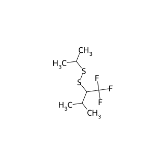 CC(C)SSC(C(C)C)C(F)(F)F